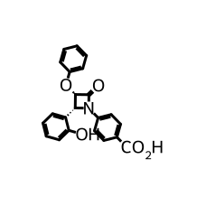 O=C(O)c1ccc(N2C(=O)[C@@H](Oc3ccccc3)[C@H]2c2ccccc2O)cc1